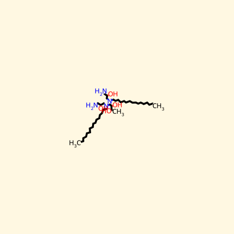 CCCCCCCCCCCCCCCCN(CC(O)CN)C(C(O)C(C)O)N(CCCCCCCCCCCCCCCC)CC(O)CN